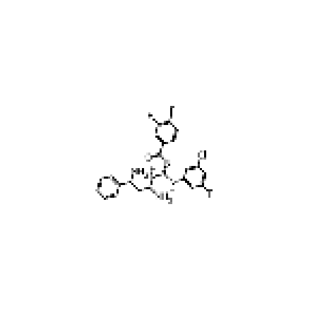 NC(CC(N)c1ccccc1)N/C(=N\C(=O)c1ccc(F)c(F)c1)Nc1cc(F)cc(Cl)c1